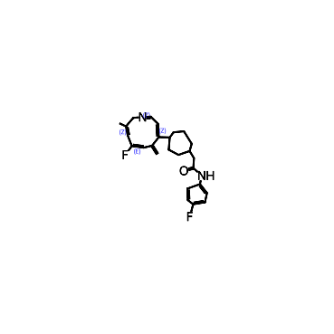 C=C1/C=C(F)\C=C(\C)C/N=C\C=C/1C1CCCC(CC(=O)Nc2ccc(F)cc2)CC1